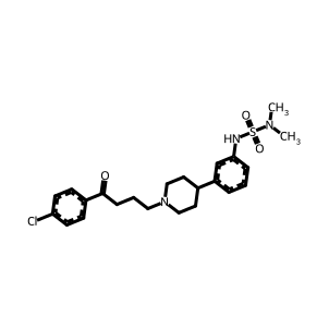 CN(C)S(=O)(=O)Nc1cccc(C2CCN(CCCC(=O)c3ccc(Cl)cc3)CC2)c1